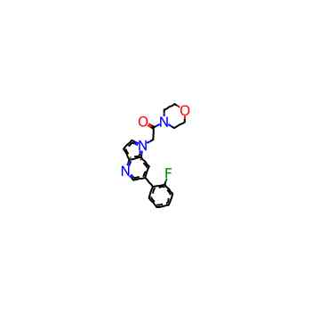 O=C(Cn1ccc2ncc(-c3ccccc3F)cc21)N1CCOCC1